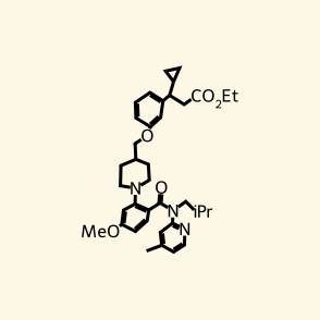 CCOC(=O)CC(c1cccc(OCC2CCN(c3cc(OC)ccc3C(=O)N(CC(C)C)c3cc(C)ccn3)CC2)c1)C1CC1